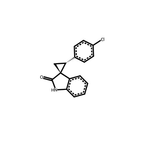 O=C1Nc2ccccc2[C@]12C[C@@H]2c1ccc(Cl)cc1